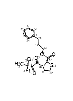 CCC(C)(C)C(=O)C(=O)N1CCS[C@@H]1C(=O)OCCCc1cccnc1